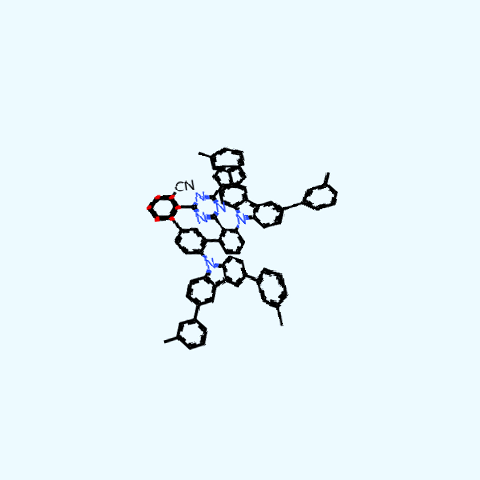 Cc1cccc(-c2ccc3c(c2)c2cc(-c4cccc(C)c4)ccc2n3-c2ccc(-c3cccc(C#N)c3)cc2-c2cccc(-n3c4ccc(-c5cccc(C)c5)cc4c4cc(-c5cccc(C)c5)ccc43)c2-c2nc(-c3ccccc3)nc(-c3ccccc3)n2)c1